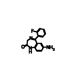 Nc1ccc2c(c1)C(c1ccccc1F)=NCC(=O)N2